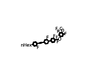 CCCCCCc1ccc(C#CC2=CCC(c3ccc(C(F)(F)Oc4cc(F)c(OC(F)(F)F)c(F)c4)c(F)c3)C(F)=C2)c(F)c1